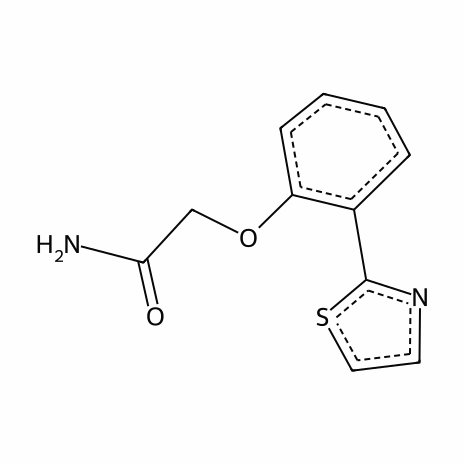 NC(=O)COc1ccccc1-c1nccs1